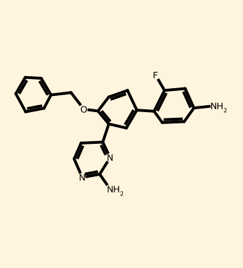 Nc1ccc(-c2ccc(OCc3ccccc3)c(-c3ccnc(N)n3)c2)c(F)c1